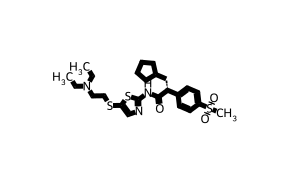 CCN(CC)CCSc1cnc(NC(=O)[C@H](CC2CCCC2)c2ccc(S(C)(=O)=O)cc2)s1